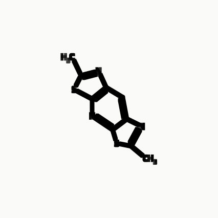 Cc1nc2cc3nc(C)sc3nc2s1